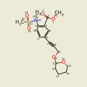 COC(=O)c1cc(C#CCOC2CCCCO2)ccc1N(C)S(C)(=O)=O